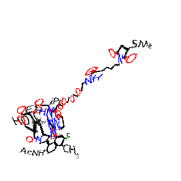 CC[C@@]1(OC(=O)[C@@H](NC(=O)[C@@H]2CCCN2C(=O)[C@H](CC(=O)O)NC(=O)CCOCCOCCOCCNC(=O)CCCCCN2C(=O)CC(SC)C2=O)C(C)C)C(=O)OCc2c1cc1n(c2=O)Cc2c-1nc1cc(F)c(C)c3c1c2[C@@H](NC(C)=O)CC3